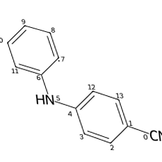 N#Cc1ccc(Nc2[c]cccc2)cc1